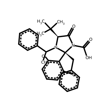 CC(c1ccccc1)N1[C@@H](C(C)(C)C)C(=O)N(C(=O)O)[C@]1(Cc1ccccc1)c1c(Cl)cccc1Cl